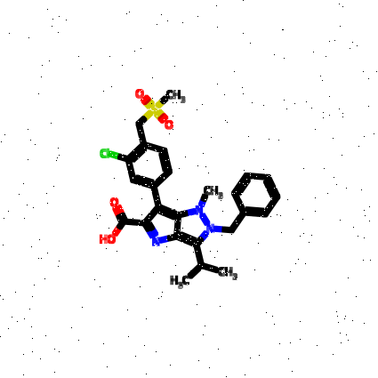 CC(C)c1c2nc(C(=O)O)c(-c3ccc(CS(C)(=O)=O)c(Cl)c3)c-2n(C)n1Cc1ccccc1